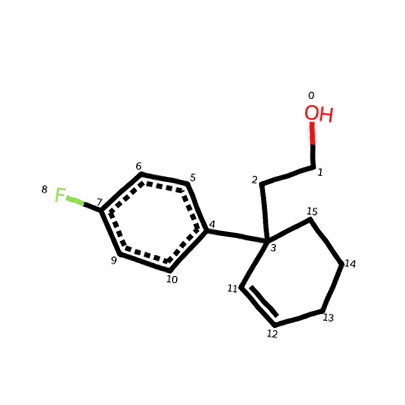 OCCC1(c2ccc(F)cc2)C=CCCC1